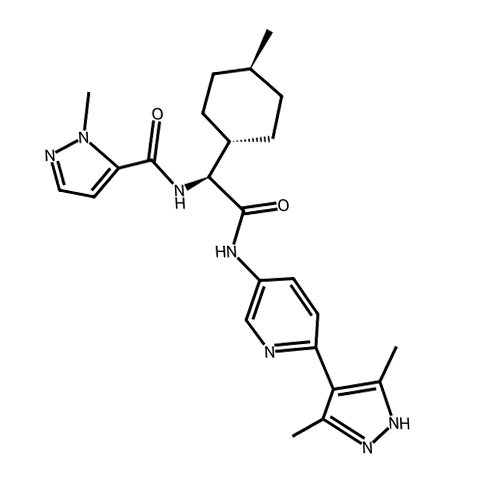 Cc1n[nH]c(C)c1-c1ccc(NC(=O)[C@@H](NC(=O)c2ccnn2C)[C@H]2CC[C@H](C)CC2)cn1